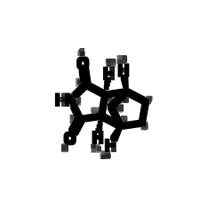 O=C1NC(=O)[C@H]2[C@@H]3CC[C@@H](C3)[C@@H]12